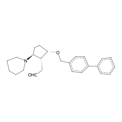 O=CC[C@H]1[C@@H](OCc2ccc(-c3ccccc3)cc2)CC[C@@H]1N1CCCCC1